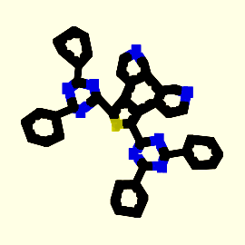 c1ccc(-c2nc(-c3ccccc3)nc(-c3sc(-c4nc(-c5ccccc5)nc(-c5ccccc5)n4)c4c5ccncc5c5cnccc5c34)n2)cc1